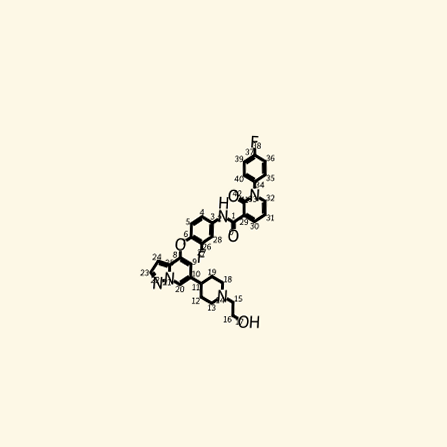 O=C(Nc1ccc(Oc2cc(C3CCN(CCO)CC3)cn3nccc23)c(F)c1)c1cccn(-c2ccc(F)cc2)c1=O